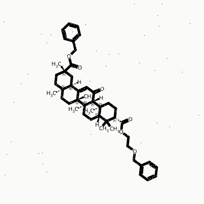 CC1(C)[C@@H](C(=O)OCCOCc2ccccc2)CC[C@]2(C)[C@H]3C(=O)C=C4[C@@H]5C[C@@](C)(C(=O)OCc6ccccc6)CC[C@]5(C)CC[C@@]4(C)[C@]3(C)CC[C@@H]12